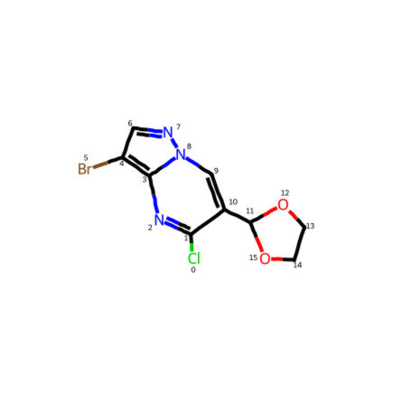 Clc1nc2c(Br)cnn2cc1C1OCCO1